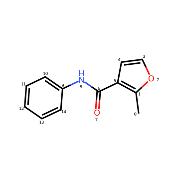 Cc1occc1C(=O)Nc1ccccc1